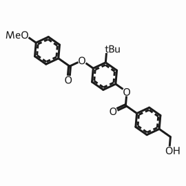 COc1ccc(C(=O)Oc2ccc(OC(=O)c3ccc(CO)cc3)cc2C(C)(C)C)cc1